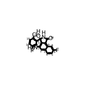 Nc1cc2ccc(F)cc2c2c1C(O)(c1cc(F)ccc1Cl)NC2=O